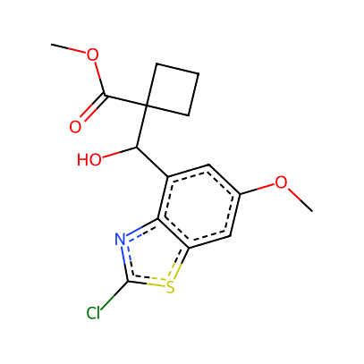 COC(=O)C1(C(O)c2cc(OC)cc3sc(Cl)nc23)CCC1